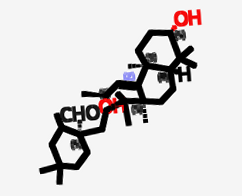 CC1CC(C)(C)CC[C@]1(C=O)CCC(C)(C)[C@]1(C)CC[C@H]2C(C)(C)[C@@H](O)CC[C@]2(C)/C1=C/[C@H](C)O